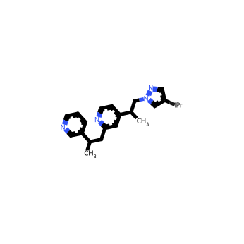 CC(C)c1cnn(CC(C)c2ccnc(CC(C)c3cccnc3)c2)c1